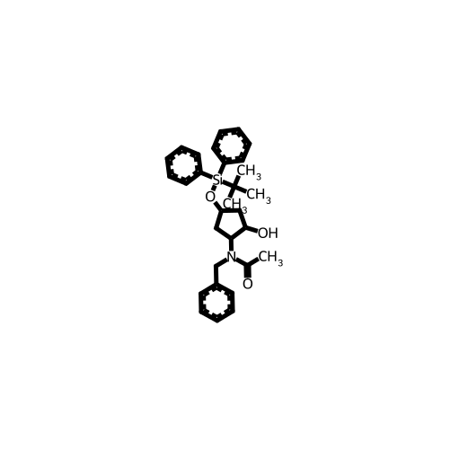 CC(=O)N(Cc1ccccc1)C1CC(O[Si](c2ccccc2)(c2ccccc2)C(C)(C)C)CC1O